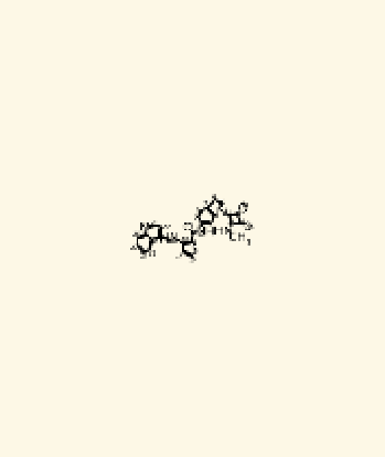 CNc1c(N2CCc3ccc(NC(=O)c4sccc4NCc4ccnc5ccccc45)cc32)c(=O)c1=O